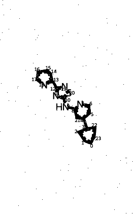 c1ccc(-c2ccnc(Nc3nc(-c4ccccn4)ns3)c2)cc1